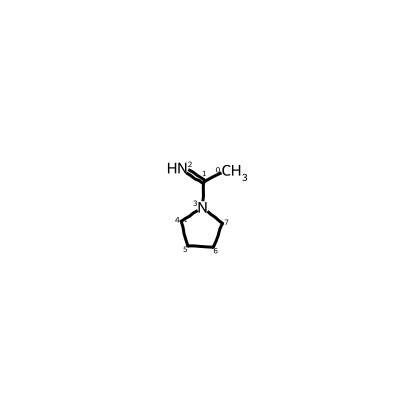 CC(=N)N1[CH]CCC1